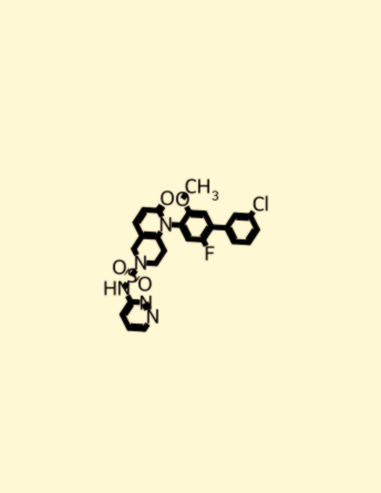 COc1cc(-c2cccc(Cl)c2)c(F)cc1-n1c2c(ccc1=O)CN(S(=O)(=O)Nc1cccnn1)CC2